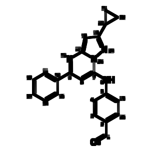 O=Cc1ccc(Nc2cc(-c3ccccc3)nc3cc(C4CC4)nn23)cc1